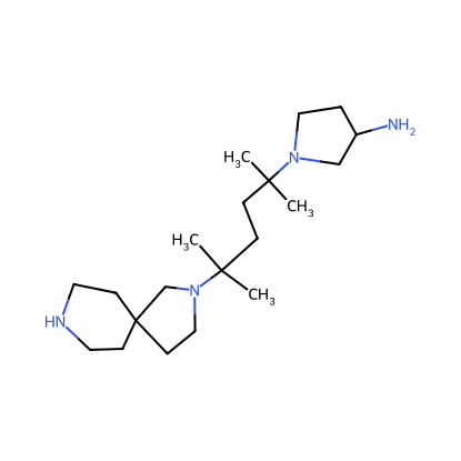 CC(C)(CCC(C)(C)N1CCC2(CCNCC2)C1)N1CCC(N)C1